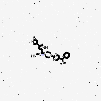 CN(C)[C@H](c1ccccc1)c1cnc(N2CCN(/C(=N/C=N)c3cc(-c4cnn(C)c4)c[nH]3)CC2)nc1